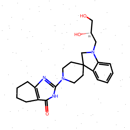 O=c1[nH]c(N2CCC3(CC2)CN(C[C@H](O)CO)c2ccccc23)nc2c1CCCC2